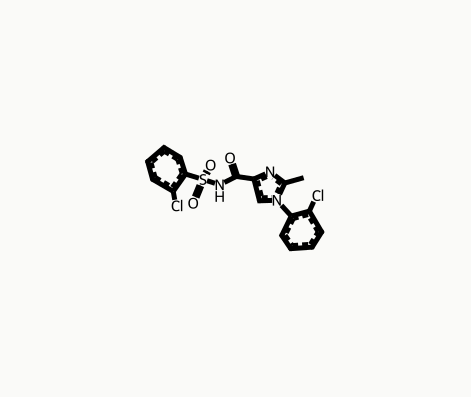 Cc1nc(C(=O)NS(=O)(=O)c2ccccc2Cl)cn1-c1ccccc1Cl